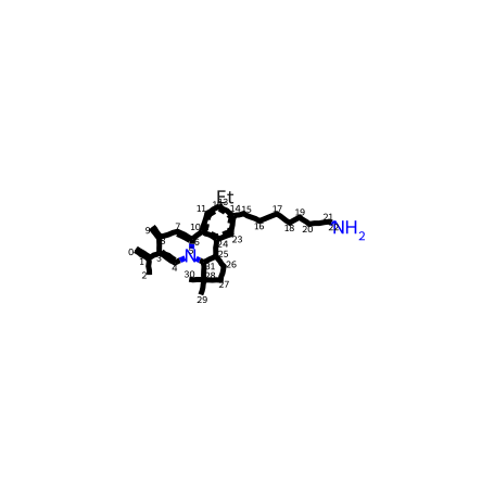 C=C(C)C1=CN2C(=CC1=C)c1cc(CC)c(CCCCCCCN)cc1C1CCC(C)(C)C12